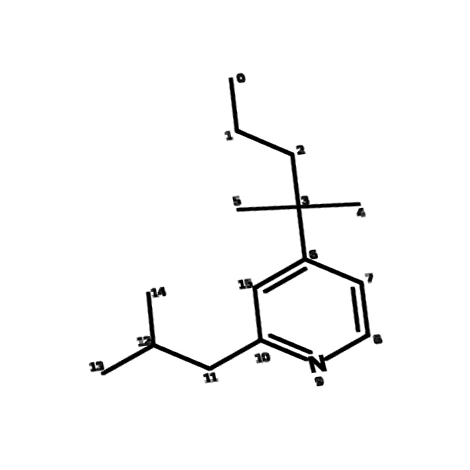 CCCC(C)(C)c1ccnc(CC(C)C)c1